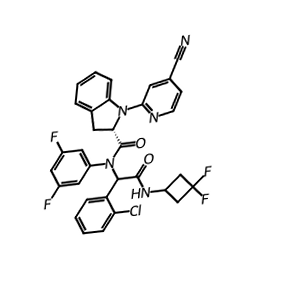 N#Cc1ccnc(N2c3ccccc3C[C@H]2C(=O)N(c2cc(F)cc(F)c2)C(C(=O)NC2CC(F)(F)C2)c2ccccc2Cl)c1